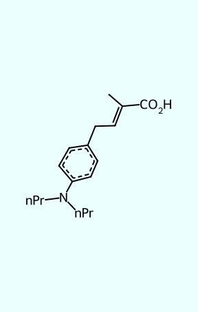 CCCN(CCC)c1ccc(CC=C(C)C(=O)O)cc1